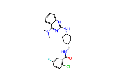 CN(C)c1nc(N[C@H]2CC[C@@H](CNC(=O)c3cc(F)ccc3Cl)CC2)nc2ccccc12